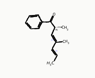 C/C=C/C(C)=C/[C@@H](C)C(=O)c1ccccc1